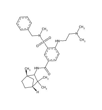 CN(C)CCNc1ccc(C(=O)NC2C(C)(C)[C@@H]3CC[C@@]2(C)C3)cc1S(=O)(=O)N(C)Cc1ccccc1